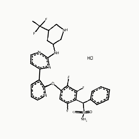 CC(F)(F)C1CNCC(Nc2nccc(-c3cccnc3Oc3cc(F)c(C(c4ccccc4)S(N)(=O)=O)c(F)c3F)n2)C1.Cl